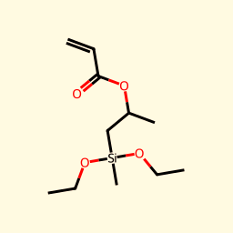 C=CC(=O)OC(C)C[Si](C)(OCC)OCC